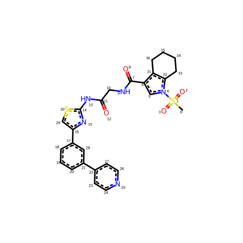 CS(=O)(=O)n1cc(C(=O)NCC(=O)Nc2nc(-c3cccc(-c4ccncc4)c3)cs2)c2c1CCCC2